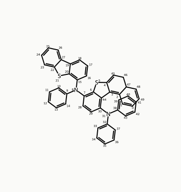 C1=CC2=c3c(sc4c(N(c5ccccc5)c5cccc6c5sc5ccccc56)ccc(N(c5ccccc5)c5ccccc5)c34)=CCC2C=C1